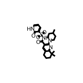 CC1CCN(c2nc3c(cc2C(=O)NS(=O)(=O)c2ccc[nH]c2=O)CCCC3(C)C)CC1